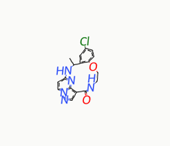 CC1Nc2ccn3ncc(c3n2)C(=O)NCCOc2ccc(Cl)cc21